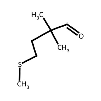 CSCCC(C)(C)[C]=O